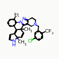 CCc1cccc2c1-n1nc3c(c1C1(C)C=CC4(C)NC=CC4=C21)CN(Cc1cc(Cl)ccc1C(F)(F)F)CC3